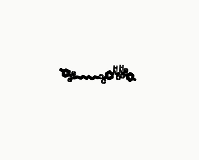 Cc1ccc(S(=O)(=O)CCCCCCCCCOC(=O)c2ccc(NC(=O)NS(=O)(=O)c3ccc(C)cc3)cc2)cc1